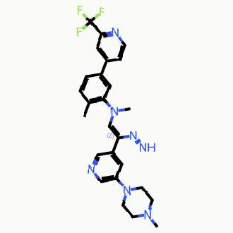 Cc1ccc(-c2ccnc(C(F)(F)F)c2)cc1N(C)/C=C(\N=N)c1cncc(N2CCN(C)CC2)c1